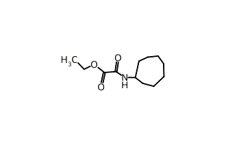 CCOC(=O)C(=O)NC1CCCCCCC1